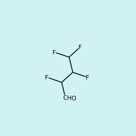 O=CC(F)C(F)C(F)F